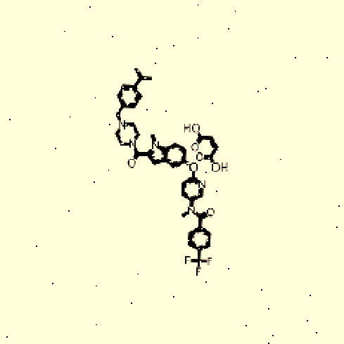 CC(C)c1ccc(CN2CCN(C(=O)c3cc4cc(Oc5ccc(N(C)C(=O)c6ccc(C(F)(F)F)cc6)cn5)ccc4n3C)CC2)cc1.O=C(O)/C=C\C(=O)O